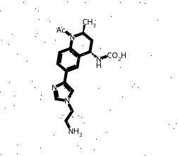 CC(=O)N1c2ccc(-c3cn(CCN)cn3)cc2[C@H](NC(=O)O)C[C@@H]1C